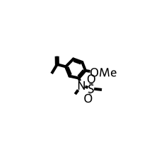 C=C(C)c1ccc(OC)c(N(C)S(C)(=O)=O)c1